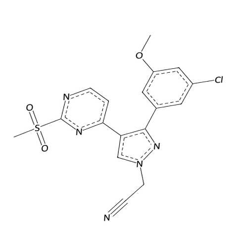 COc1cc(Cl)cc(-c2nn(CC#N)cc2-c2ccnc(S(C)(=O)=O)n2)c1